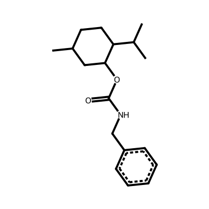 CC1CCC(C(C)C)C(OC(=O)NCc2ccccc2)C1